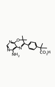 CC1(C)Oc2ncnc(N)c2N=C1c1ccc(C(C)(C)C(=O)O)cc1